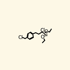 CCO[Si](C)(OCC)C(Cl)CCc1ccc(CCl)cc1